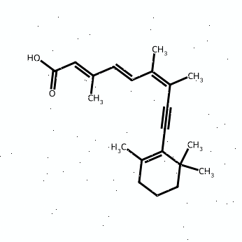 CC1=C(C#C\C(C)=C(C)/C=C/C(C)=C/C(=O)O)C(C)(C)CCC1